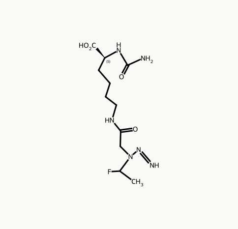 CC(F)N(CC(=O)NCCCC[C@H](NC(N)=O)C(=O)O)N=N